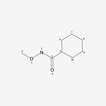 CO[N]C(=O)C1CCCCC1